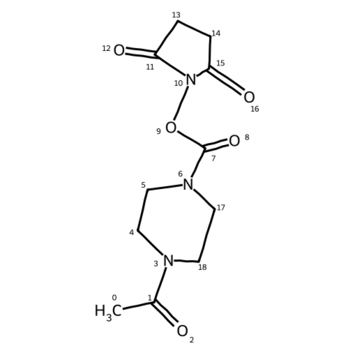 CC(=O)N1CCN(C(=O)ON2C(=O)CCC2=O)CC1